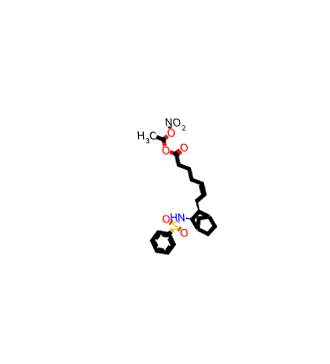 CC(OC(=O)CCC/C=C\C[C@H]1C2CCC(C2)[C@@H]1NS(=O)(=O)c1ccccc1)O[N+](=O)[O-]